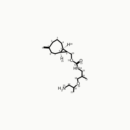 C=C1CCC[C@@H]2[C@H](CC1)[C@@H]2COC(=O)NCC(C)COC(C)CN